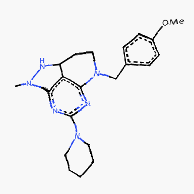 COc1ccc(CN2CCC3NN(C)c4nc(N5CCCCC5)nc2c43)cc1